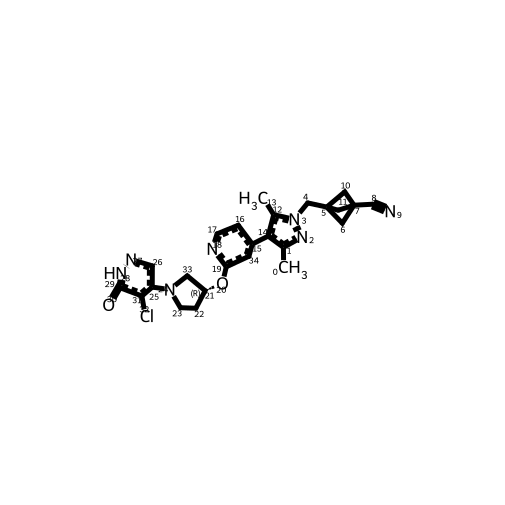 Cc1nn(CC23CC(C#N)(C2)C3)c(C)c1-c1ccnc(O[C@@H]2CCN(c3cn[nH]c(=O)c3Cl)C2)c1